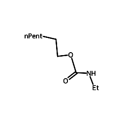 CCCCCCCOC(=O)NCC